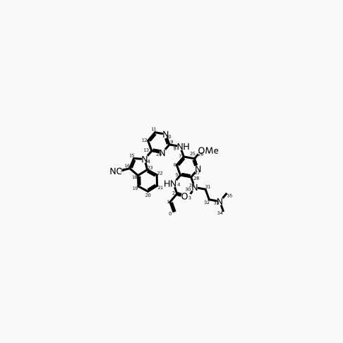 C=CC(=O)Nc1cc(Nc2nccc(-n3cc(C#N)c4ccccc43)n2)c(OC)nc1N(C)CCN(C)C